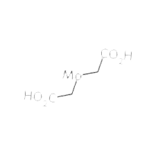 O=C(O)[CH2][Mo][CH2]C(=O)O